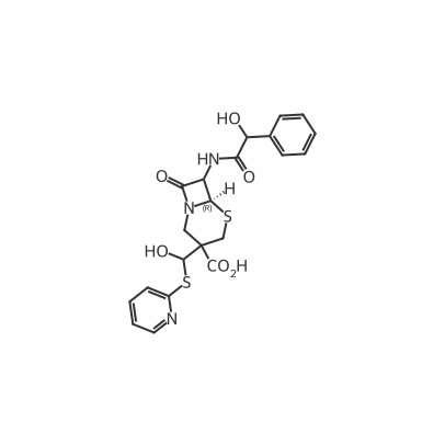 O=C(NC1C(=O)N2CC(C(=O)O)(C(O)Sc3ccccn3)CS[C@H]12)C(O)c1ccccc1